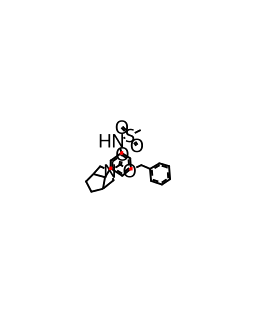 CS(=O)(=O)Nc1cccc(C2C3CCC2CN(C(=O)OCc2ccccc2)C3)c1